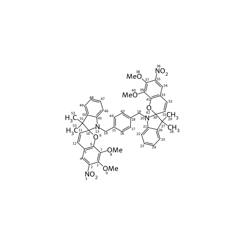 COc1c([N+](=O)[O-])cc2c(c1OC)OC1(C=C2)N(Cc2ccc(CN3c4ccccc4C(C)(C)C34C=Cc3cc([N+](=O)[O-])c(OC)c(OC)c3O4)cc2)c2ccccc2C1(C)C